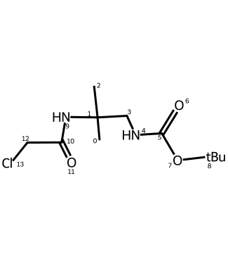 CC(C)(CNC(=O)OC(C)(C)C)NC(=O)CCl